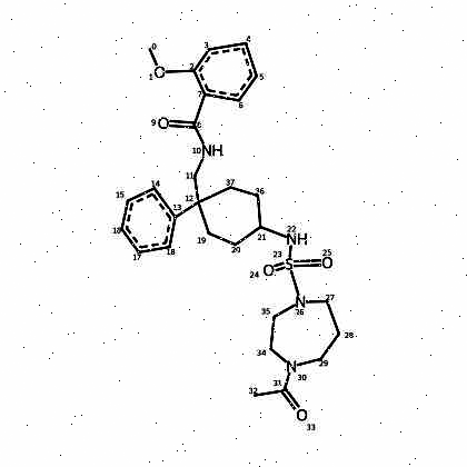 COc1ccccc1C(=O)NCC1(c2ccccc2)CCC(NS(=O)(=O)N2CCCN(C(C)=O)CC2)CC1